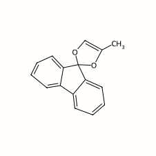 CC1=COC2(O1)c1ccccc1-c1ccccc12